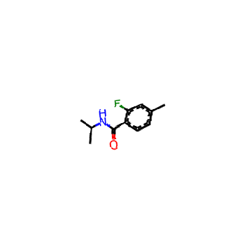 Cc1ccc(C(=O)NC(C)C)c(F)c1